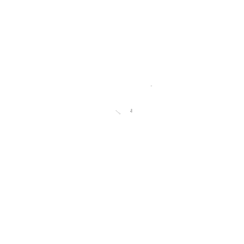 CCCC[CH]CCCCC(=O)NCCC[Si](OC)(OC)OC